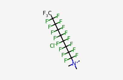 C[N+](C)(C)C(F)(F)C(F)(F)C(F)(F)C(F)(F)C(F)(F)C(F)(F)C(F)(F)C(F)(F)C(F)(F)F.[Cl-]